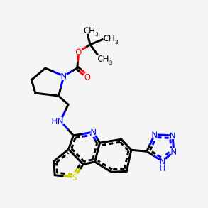 CC(C)(C)OC(=O)N1CCCC1CNc1nc2cc(-c3nnn[nH]3)ccc2c2sccc12